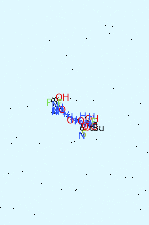 C#Cc1c(F)ccc2cc(O)cc(-c3ncc4c(N5CC6CCC(C5)N6)nc(OCCCN5CCN(CC(=O)N6CCN(C(=O)C[C@H](NC(=O)[C@@H]7C[C@@H](O)CN7C(=O)[C@@H](NC(=O)C7(F)CC7)C(C)(C)C)c7ccc(-c8scnc8C)cc7)CC6)CC5)nc4c3F)c12